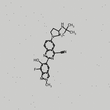 Cn1cc2cc(-c3nc(C#N)c4cc(N5CCC(NC(C)(C)C)C5)ccc4n3)c(O)c(F)c2n1